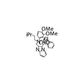 COc1ccc([N+](C=O)(CCC(C)C)CC2N=C3C=CC=CN3C2Cc2ccccc2Cl)c(Cl)c1OC